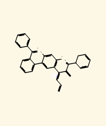 C=C/C=c1\c(=C)c(C2C=CC=CC2)nc2cc3nc(-c4ccccc4)c4ccccc4c3cc12